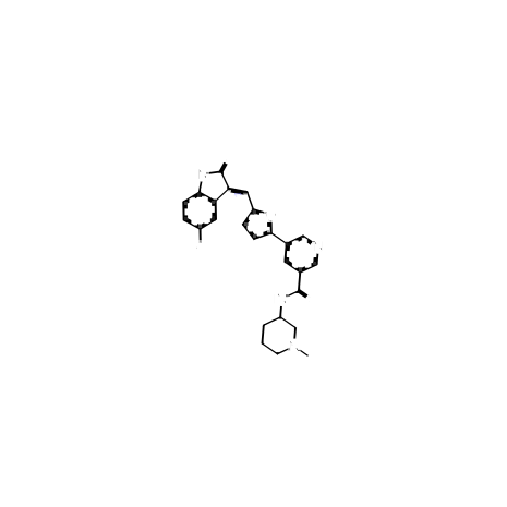 CN1CCCC(NC(=O)c2cncc(-c3ccc(/C=C4/C(=O)Nc5ccc(Cl)cc54)o3)c2)C1